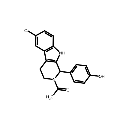 CC(=O)N1CCc2c([nH]c3ccc(Cl)cc23)C1c1ccc(O)cc1